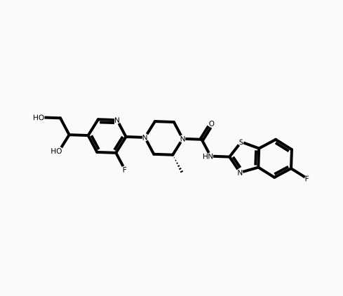 C[C@@H]1CN(c2ncc(C(O)CO)cc2F)CCN1C(=O)Nc1nc2cc(F)ccc2s1